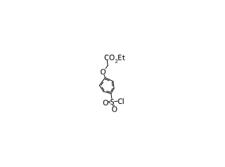 CCOC(=O)COc1ccc(S(=O)(=O)Cl)cc1